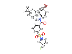 O=C(c1cccc(S(=O)(=O)N2CCC(F)C2)c1)N1CC2(CCC3(CC3)CC2)c2cc(Br)ccc21